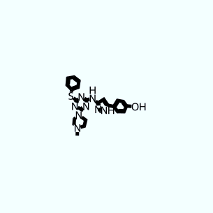 CN1CCN(c2nc(Nc3cc(-c4ccc(O)cc4)[nH]n3)nc(Sc3ccccc3)n2)CC1